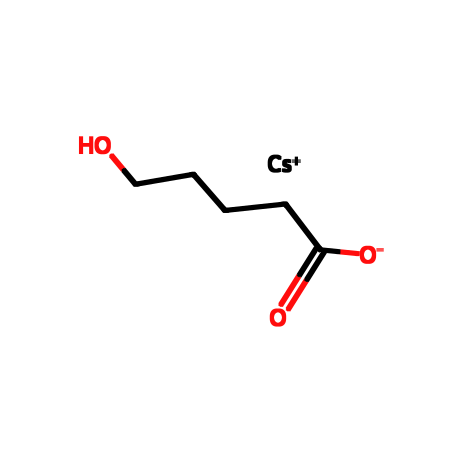 O=C([O-])CCCCO.[Cs+]